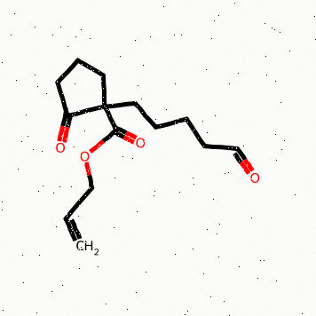 C=CCOC(=O)C1(CCCCC=O)CCCC1=O